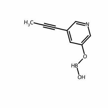 CC#Cc1cncc(OBO)c1